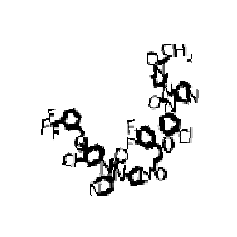 C=CC(=O)N1CC[C@@H](n2c(=O)n(-c3ccc(OC(/C=C/C(=O)N4CC[C@@H](n5c(=O)n(-c6ccc(OCc7cccc(C(F)(F)F)c7)c(Cl)c6)c6cnccc65)C4)c4ccc(F)c(F)c4)c(Cl)c3)c3cnccc32)C1